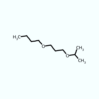 CCCCOCCCOC(C)C